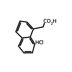 Cl.O=C(O)Cc1cccc2ccccc12